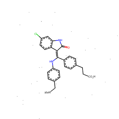 CNCc1ccc(NC(=C2C(=O)Nc3cc(Cl)ccc32)c2ccc(CCC(=O)O)cc2)cc1